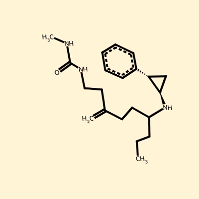 C=C(CCNC(=O)NC)CCC(CCC)N[C@@H]1C[C@H]1c1ccccc1